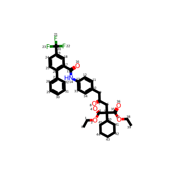 CCOC(=O)C(CC(=O)Cc1ccc(NC(=O)c2cc(C(F)(F)F)ccc2-c2ccccc2)cc1)(C(=O)OCC)C1CCCCC1